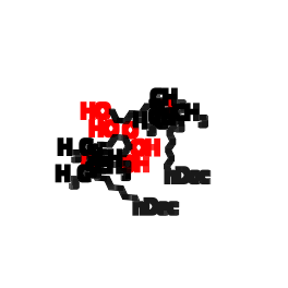 CCCCCCCCCCCCCCCC[Si](C)(C)O[Si](C)(C)CCCC(OC(CCC[Si](C)(C)O[Si](C)(C)CCCCCCCCCCCCCCCC)C(O)CO)C(O)CO